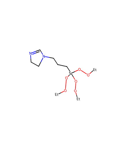 CCOO[Si](CCCN1C=NCC1)(OOCC)OOCC